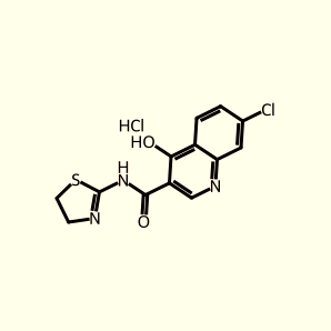 Cl.O=C(NC1=NCCS1)c1cnc2cc(Cl)ccc2c1O